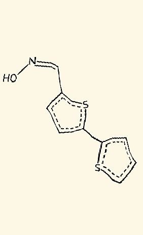 O/N=C\c1ccc(-c2cccs2)s1